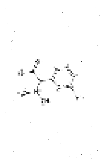 CCC(=O)C(c1cccc(C(F)(F)F)c1)N(C)C